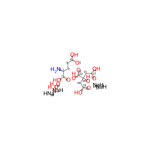 N[C@@H](CCC(=O)O)C(=O)O.O.O.O=C(O)CC(O)(CC(=O)O)C(=O)O.[NaH].[NaH].[NaH].[NaH]